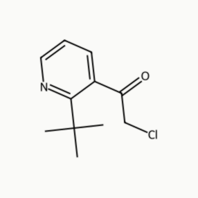 CC(C)(C)c1ncccc1C(=O)CCl